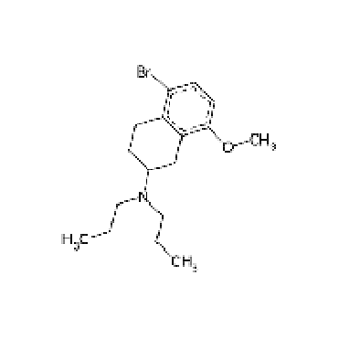 CCCN(CCC)C1CCc2c(Br)ccc(OC)c2C1